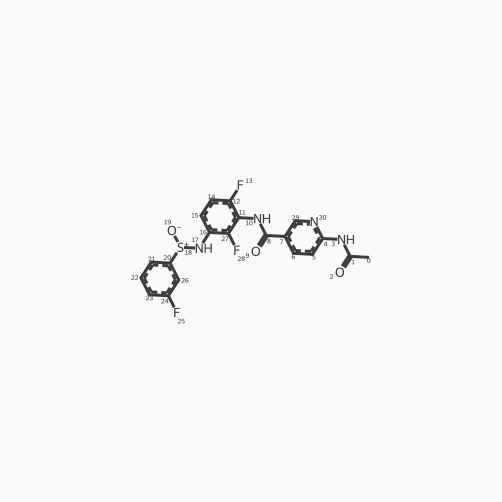 CC(=O)Nc1ccc(C(=O)Nc2c(F)ccc(N[S+]([O-])c3cccc(F)c3)c2F)cn1